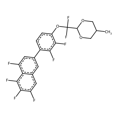 CC1COC(C(F)(F)Oc2ccc(-c3cc(F)c4c(F)c(F)c(F)cc4c3)c(F)c2F)OC1